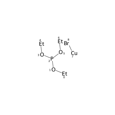 CCOP(OCC)OCC.[Cu][Br]